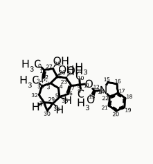 CC1=C[C@@]23C[C@H](C=C(C(C)(C)OC(=O)N4CCc5ccccc54)[C@@H](O)[C@]2(O)[C@H]1O)[C@@H]1C[C@@H]1C[C@H]3C